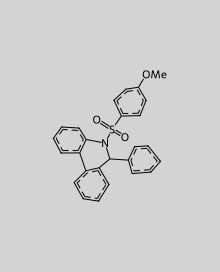 COc1ccc(S(=O)(=O)N2c3ccccc3-c3ccccc3C2c2ccccc2)cc1